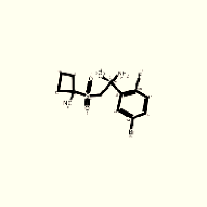 C[C@](N)(CS(=O)(=O)C1(C#N)CCC1)c1cc(Br)ccc1F